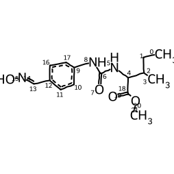 CCC(C)C(NC(=O)Nc1ccc(C=NO)cc1)C(=O)OC